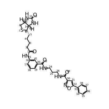 O=C(CCCC[C@@H]1SC[C@@H]2NC(=O)N[C@@H]21)Nc1cccc(C(=O)NCCCNC(=O)c2cc(-c3ccccc3)on2)c1